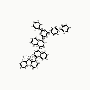 CC1(C)c2ccccc2-c2cccc(-c3ccc(-c4ccc(-c5cc(-c6ccc(-c7ccccc7)cc6)nc(-c6ccccc6)n5)c5ccccc45)c4ccccc34)c21